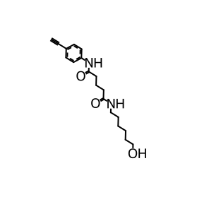 C#Cc1ccc(NC(=O)CCCC(=O)NCCCCCCO)cc1